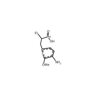 CCC(Cc1ccc(N)c(OC)c1)[PH](=O)O